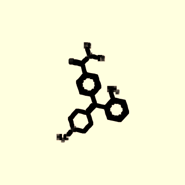 CCN(CC)C(=O)c1ccc(C(=C2CCN(C)CC2)c2ccccc2N)cc1